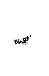 CC(CSOCc1ccccc1)C(=O)N1c2ccc(Cl)cc2CC1C(=O)O